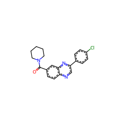 O=C(c1ccc2ncc(-c3ccc(Cl)cc3)nc2c1)N1CCCCC1